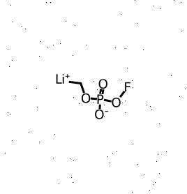 CCOP(=O)([O-])OF.[Li+]